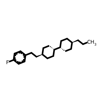 CCC[C@H]1CC[C@H]([C@H]2CC[C@H](CCc3ccc(F)cc3)CC2)CC1